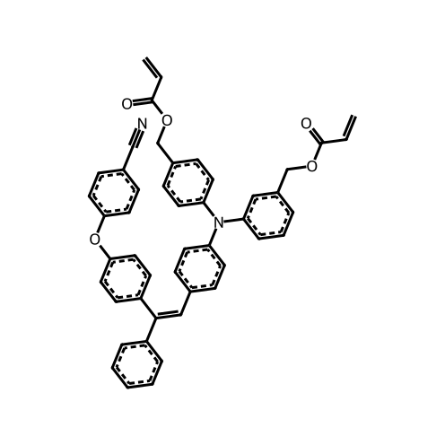 C=CC(=O)OCc1ccc(N(c2ccc(C=C(c3ccccc3)c3ccc(Oc4ccc(C#N)cc4)cc3)cc2)c2cccc(COC(=O)C=C)c2)cc1